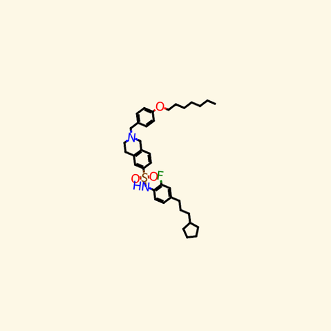 CCCCCCCOc1ccc(CN2CCc3cc(S(=O)(=O)Nc4ccc(CCCC5CCCC5)cc4F)ccc3C2)cc1